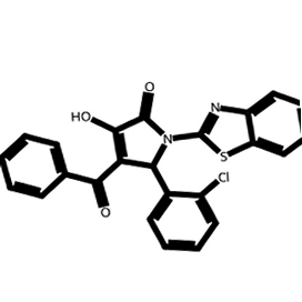 O=C(C1=C(O)C(=O)N(c2nc3ccccc3s2)C1c1ccccc1Cl)c1ccccc1